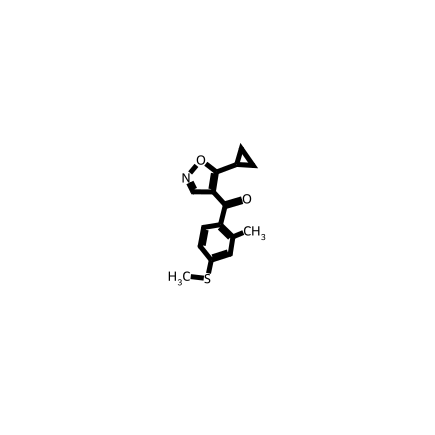 CSc1ccc(C(=O)c2cnoc2C2CC2)c(C)c1